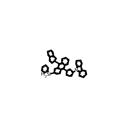 c1ccc([SiH2]c2ccc3c(-c4cccc(-n5c6ccccc6c6ccccc65)c4)c4ccccc4c(-c4ccc5ccccc5c4)c3c2)cc1